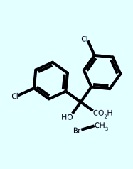 CBr.O=C(O)C(O)(c1cccc(Cl)c1)c1cccc(Cl)c1